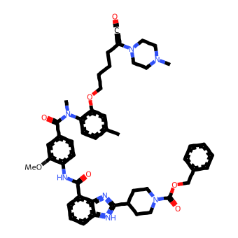 COc1cc(C(=O)N(C)c2ccc(C)cc2OCCCCC(=C=O)N2CCN(C)CC2)ccc1NC(=O)c1cccc2[nH]c(C3CCN(C(=O)OCc4ccccc4)CC3)nc12